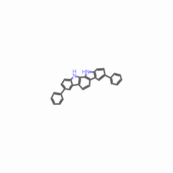 c1ccc(-c2ccc3[nH]c4c(ccc5c6cc(-c7ccccc7)ccc6[nH]c54)c3c2)cc1